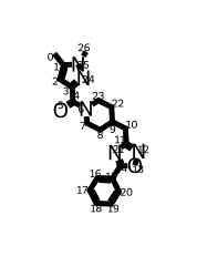 Cc1cc(C(=O)N2CCC(Cc3noc(-c4ccccc4)n3)CC2)nn1C